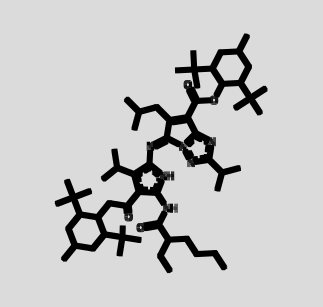 CCCCC(CC)C(=O)Nc1[nH]c(/N=C2/C(CC(C)C)=C(C(=O)OC3C(C(C)(C)C)CC(C)CC3C(C)(C)C)c3nc(C(C)C)nn32)c(C(C)C)c1C(=O)CC1C(C(C)(C)C)CC(C)CC1C(C)(C)C